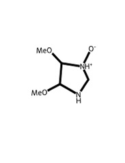 COC1NC[NH+]([O-])C1OC